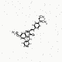 C=CN(C)c1ccc(/C=C/c2nc3cc(OC)ccc3n(Cc3cccnc3)c2=O)cc1